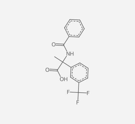 CC(NC(=O)c1ccccc1)(C(=O)O)c1cccc(C(F)(F)F)c1